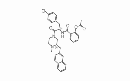 CC(=O)Oc1ccccc1C(=O)N[C@H](Cc1ccc(Cl)cc1)C(=O)N1CCN(C)[C@H](Cc2ccc3ccccc3c2)C1